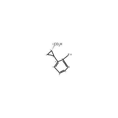 O=C(O)[C@H]1CC1c1ccccc1F